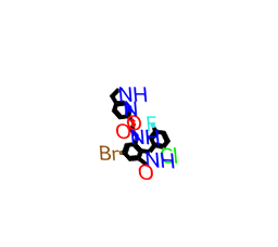 O=C(Nc1cc(Br)cc2c1C(c1cc(F)ccc1Cl)NC2=O)Oc1ccc2c(n1)NCC2